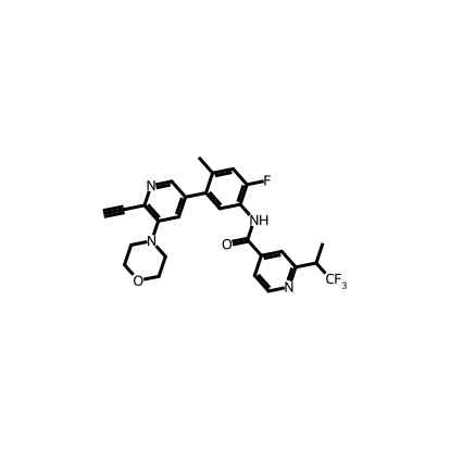 C#Cc1ncc(-c2cc(NC(=O)c3ccnc(C(C)C(F)(F)F)c3)c(F)cc2C)cc1N1CCOCC1